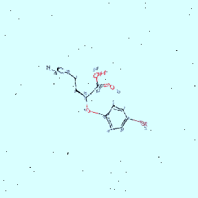 CCC[C@H](Oc1ccc(Br)cc1)C(=O)O